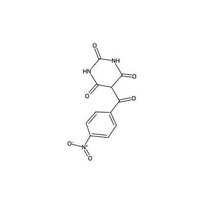 O=C1NC(=O)C(C(=O)c2ccc([N+](=O)[O-])cc2)C(=O)N1